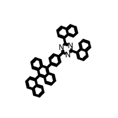 c1ccc2c(-c3nc(-c4ccc(-c5c6ccccc6c(-c6cccc7ccccc67)c6ccccc56)cc4)nc(-c4cccc5ccccc45)n3)cccc2c1